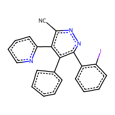 N#Cc1nnc(-c2ccccc2I)c(-c2ccccc2)c1-c1ccccn1